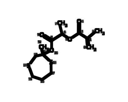 C=C(C)C(=O)OC(C)C(=O)OC1(C)CSCCCS1